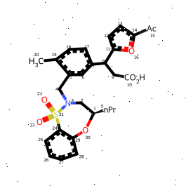 CCC[C@@H]1CN(Cc2cc(C(CC(=O)O)c3ccc(C(C)=O)o3)ccc2C)S(=O)(=O)c2ccccc2O1